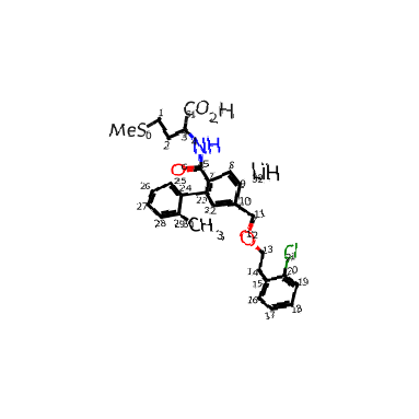 CSCCC(NC(=O)c1ccc(COCCc2ccccc2Cl)cc1-c1ccccc1C)C(=O)O.[LiH]